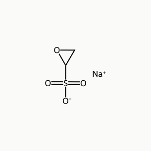 O=S(=O)([O-])C1CO1.[Na+]